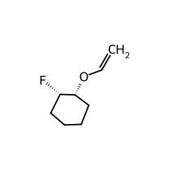 C=CO[C@@H]1CCCC[C@@H]1F